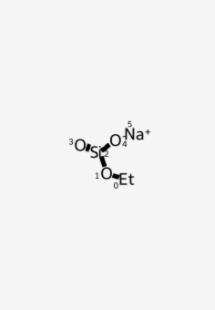 CCO[Si](=O)[O-].[Na+]